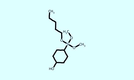 CCCCCO[Si](OC)(OC)C1CCC(O)CC1